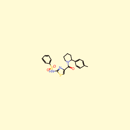 Cc1ccc(C2CCCCN2C(=O)c2csc(NS(=O)(=O)c3ccccc3)n2)cc1